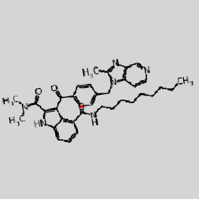 CCCCCCCCCNC(=O)c1cccc2[nH]c(C(=O)N(C)C)c(C(=O)c3ccc(Cn4c(C)nc5cnccc54)cc3)c12